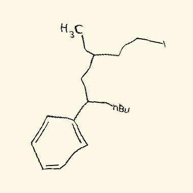 CCCCC(CC(C)CCI)c1ccccc1